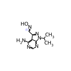 CC(C)n1nc(/C=N/O)c2c(N)ncnc21